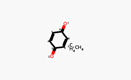 C.C.O=C1C=CC(=O)C=C1